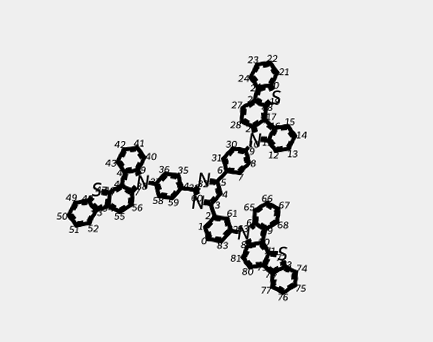 c1cc(-c2cc(-c3ccc(-n4c5ccccc5c5c6sc7ccccc7c6ccc54)cc3)nc(-c3ccc(-n4c5ccccc5c5c6sc7ccccc7c6ccc54)cc3)n2)cc(-n2c3ccccc3c3c4sc5ccccc5c4ccc32)c1